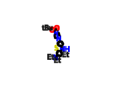 CCc1cc(N(CC)CC)cc2c1Nc1ccc(N3CCN(C(=O)OC(C)(C)C)CC3)cc1S2